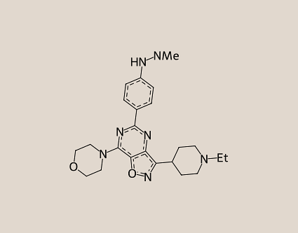 CCN1CCC(c2noc3c(N4CCOCC4)nc(-c4ccc(NNC)cc4)nc23)CC1